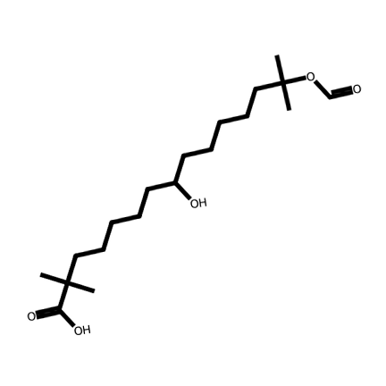 CC(C)(CCCCCC(O)CCCCCC(C)(C)C(=O)O)OC=O